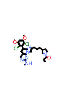 C=CC(=O)N1CCC(CCCc2cn3c(n2)c(-c2c(Cl)c(OC)cc(OC)c2Cl)cc2cnc(NC)nc23)C1